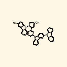 N#Cc1ccc(-n2c3ccccc3c3cc(C#N)ccc32)c(-c2cccc(-n3c4ccccc4c4cc(-n5c6ccccc6c6ccccc65)ccc43)c2)c1